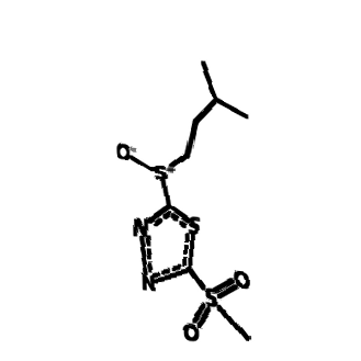 CC(C)CC[S+]([O-])c1nnc(S(C)(=O)=O)s1